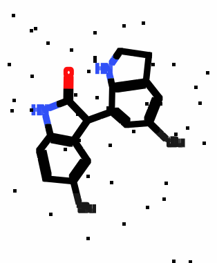 CC(C)(C)c1ccc2c(c1)C(c1cc(C(C)(C)C)cc3c1NCC3)C(=O)N2